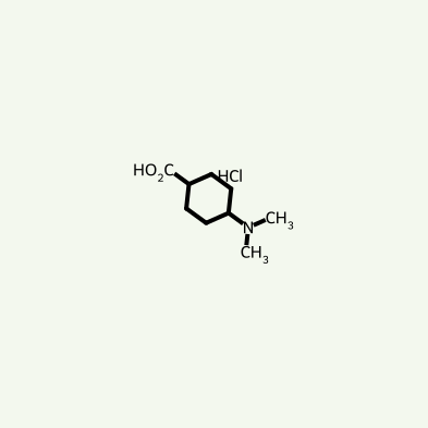 CN(C)C1CCC(C(=O)O)CC1.Cl